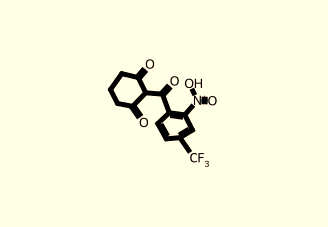 O=C1CCCC(=O)C1C(=O)c1ccc(C(F)(F)F)cc1[N+](=O)O